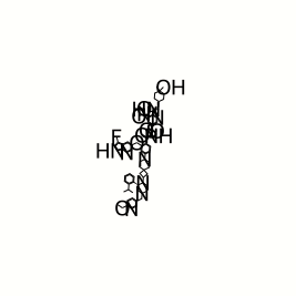 COc1ccc(CN2CCN(C3CC4(CCN(c5ccc(C(=O)NS(=O)(=O)c6cnc(NCC7CCC(C)(O)CC7)c([N+](=O)[O-])c6)c(Oc6cnc7[nH]cc(F)c7c6)c5)CC4)C3)[C@H](c3ccccc3C(C)C)C2)cn1